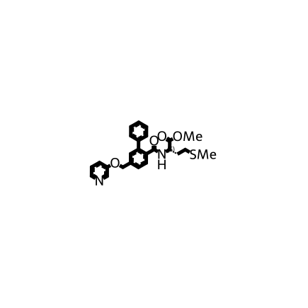 COC(=O)[C@H](CCSC)NC(=O)c1ccc(COc2cccnc2)cc1-c1ccccc1